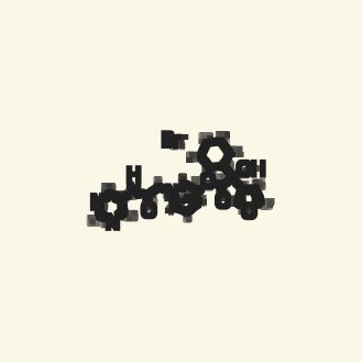 O=C(C[N+]12CCC(CC1)C(OC(=O)[C@](O)(c1ccoc1)C1CCCCC1)C2)Nc1cncnc1.[Br-]